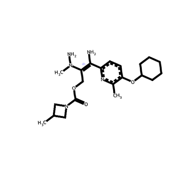 Cc1nc(/C(N)=C(\COC(=O)N2CC(C)C2)N(C)N)ccc1OC1CCCCC1